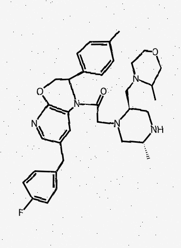 Cc1ccc(C2COc3ncc(Cc4ccc(F)cc4)cc3N2C(=O)CN2C[C@@H](C)NC[C@@H]2CN2CCOCC2C)cc1